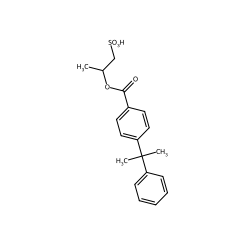 CC(CS(=O)(=O)O)OC(=O)c1ccc(C(C)(C)c2ccccc2)cc1